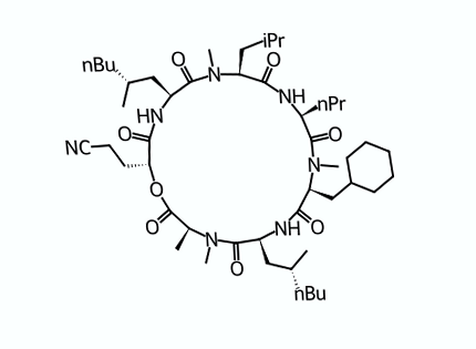 CCCC[C@@H](C)C[C@@H]1NC(=O)[C@H](CC2CCCCC2)N(C)C(=O)[C@H](CCC)NC(=O)[C@H](CC(C)C)N(C)C(=O)[C@H](C[C@H](C)CCCC)NC(=O)[C@@H](CCC#N)OC(=O)[C@H](C)N(C)C1=O